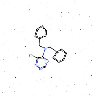 Clc1nncnc1N(Cc1ccccc1)Cc1ccccc1